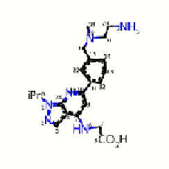 CC(C)n1ncc2c(NCC(=O)O)cc(-c3cccc(CN(C)CCN)c3)nc21